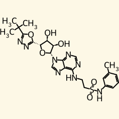 Cc1cccc(NS(=O)(=O)CCNc2ncnc3c2ncn3[C@@H]2O[C@H](c3nnc(C(C)(C)C)o3)[C@@H](O)[C@H]2O)c1